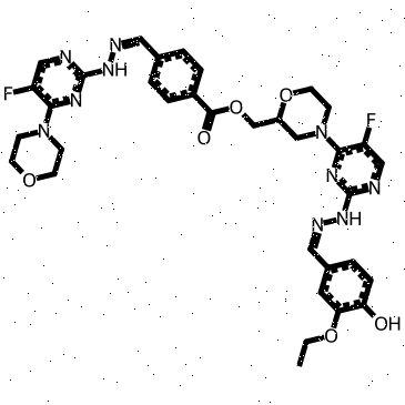 CCOc1cc(/C=N\Nc2ncc(F)c(N3CCOC(COC(=O)c4ccc(/C=N\Nc5ncc(F)c(N6CCOCC6)n5)cc4)C3)n2)ccc1O